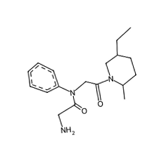 CCC1CCC(C)N(C(=O)CN(C(=O)CN)c2ccccc2)C1